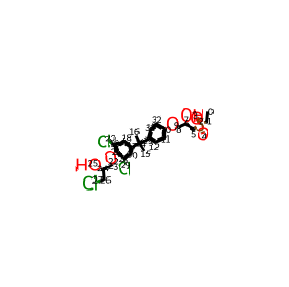 CCS(=O)(=O)CC(O)COc1ccc(C(C)(C)c2cc(Cl)c(OC[C@@H](O)CCl)c(Cl)c2)cc1